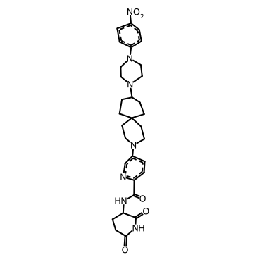 O=C1CCC(NC(=O)c2ccc(N3CCC4(CCC(N5CCN(c6ccc([N+](=O)[O-])cc6)CC5)CC4)CC3)cn2)C(=O)N1